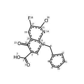 O=C(O)c1cn(Cc2ccccc2)c2nc(Cl)c(F)cc2c1=O